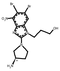 N[C@@H]1CCN(c2nc3c([N+](=O)[O-])c(Br)c(Br)cc3n2CCCO)C1